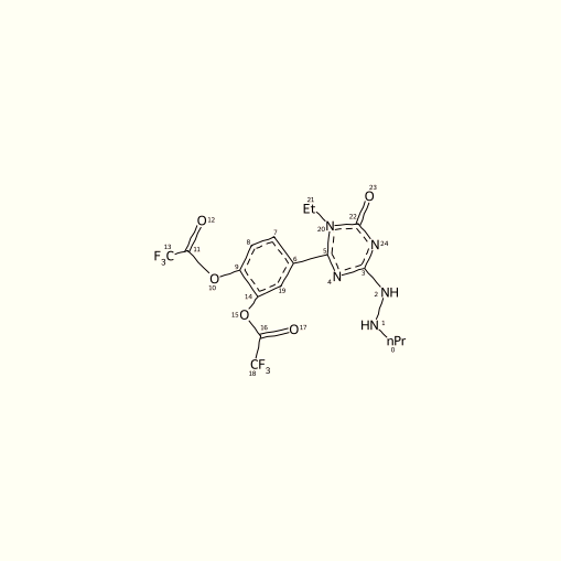 CCCNNc1nc(-c2ccc(OC(=O)C(F)(F)F)c(OC(=O)C(F)(F)F)c2)n(CC)c(=O)n1